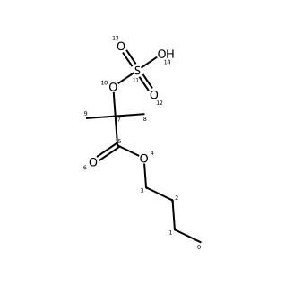 CCCCOC(=O)C(C)(C)OS(=O)(=O)O